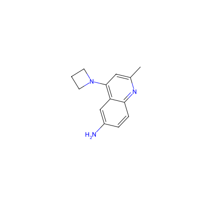 Cc1cc(N2CCC2)c2cc(N)ccc2n1